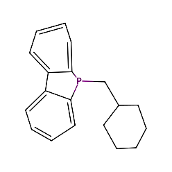 c1ccc2c(c1)c1ccccc1p2CC1CCCCC1